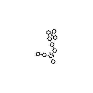 c1ccc(-c2ccc(-c3cc(-c4ccccc4)nc(-c4cccc(-c5ccc(-c6ccc7c(c6)C6(c8ccccc8-c8ccccc86)c6ccccc6-7)cc5)c4)n3)cc2)cc1